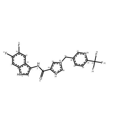 O=C(Nc1c[nH]c2cc(F)c(F)cc12)c1cn(Cc2ccc(C(F)(F)F)nc2)cn1